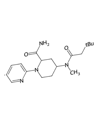 CN(C(=O)CC(C)(C)C)C1CCN(c2cc[c]cn2)C(C(N)=O)C1